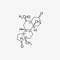 C=C1C[C@H]2[C@@H]3CCC(=O)[C@@]3(C)CC[C@@H]2[C@@]2(C)CCC(=O)C[C@]12O